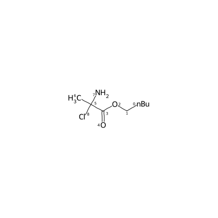 CCCCCOC(=O)C(C)(N)Cl